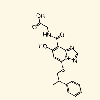 CC(CSc1cc(O)c(C(=O)NCC(=O)O)c2ncnn12)c1ccccc1